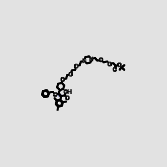 Cc1cc(C)c(/C(C(=O)O)=C(\OCc2ccccc2)C2CCC(OCCOCCOCCN3CCN(CCOCCOCC(=O)OC(C)(C)C)CC3)CC2)c(C)c1